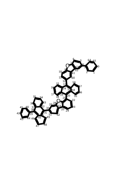 c1ccc(-c2ccc3oc4ccc(-c5c6ccccc6c(-c6cccc7c6oc6cc(-c8c9ccccc9c(-c9ccccc9)c9ccccc89)ccc67)c6ccccc56)cc4c3c2)cc1